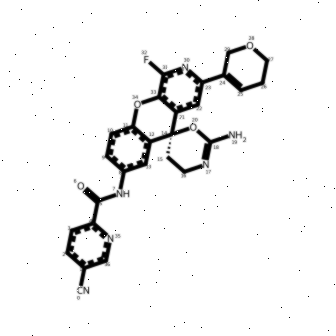 N#Cc1ccc(C(=O)Nc2ccc3c(c2)[C@@]2(CCN=C(N)O2)c2cc(C4=CCCOC4)nc(F)c2O3)nc1